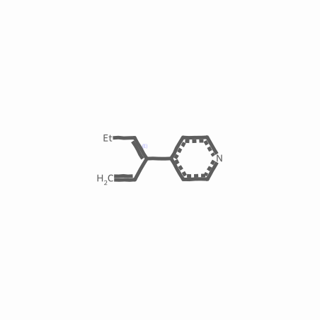 C=C/C(=C\CC)c1ccncc1